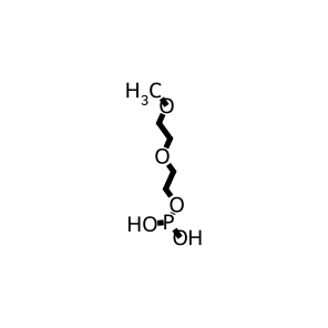 COCCOCCOP(O)O